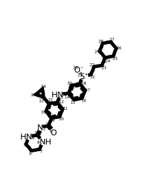 O=C(N=C1NCCCN1)c1ccc(Nc2cccc([S+]([O-])CCCC3CCCCC3)c2)c(C2CC2)c1